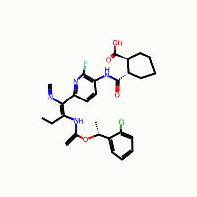 C=N/C(=C(\CC)NC(=C)O[C@H](C)c1ccccc1Cl)c1ccc(NC(=O)[C@H]2CCCC[C@@H]2C(=O)O)c(F)n1